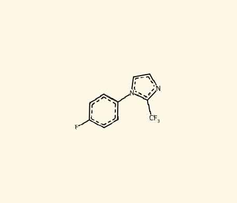 Fc1ccc(-n2ccnc2C(F)(F)F)cc1